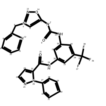 O=C([N-]c1c[n+](Cc2ccccn2)no1)Nc1cc(NC(=O)c2ccnn2-c2ccccc2)cc(C(F)(F)F)c1